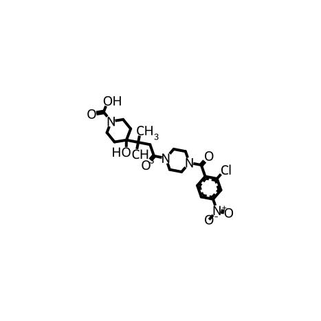 CC(C)(CC(=O)N1CCN(C(=O)c2ccc([N+](=O)[O-])cc2Cl)CC1)C1(O)CCN(C(=O)O)CC1